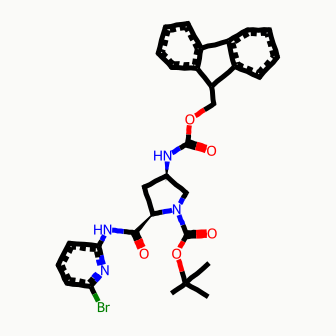 CC(C)(C)OC(=O)N1C[C@H](NC(=O)OCC2c3ccccc3-c3ccccc32)C[C@@H]1C(=O)Nc1cccc(Br)n1